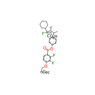 CCCCCCCCCCCOc1ccc(C(=O)Oc2ccc(C(C)[C@H](C)[C@](F)(C(=O)O)C3CCCCC3)cc2)c(F)c1F